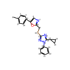 Cc1ccc(-c2cnc(CSc3nc(C4CC4)n(-c4ccccc4)n3)o2)cc1